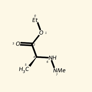 CCOC(=O)[C@H](C)NNC